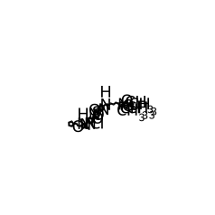 CC(C)(C)OC(=O)N1CC(CCCCNc2ccc(S(=O)(=O)NC(=O)c3ccc(-n4ccc(OCC5CCCC5)n4)nc3Cl)cn2)CC1(C)C